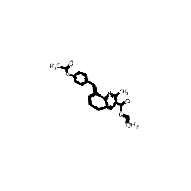 CCOC(=O)c1cc2c(nc1C)C(=Cc1ccc(OC(C)=O)cc1)CCC2